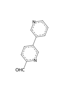 O=Cc1ccc(-c2cccnc2)cn1